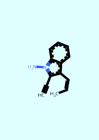 C#Cc1c(/C=C\C)c2ccccc2n1N